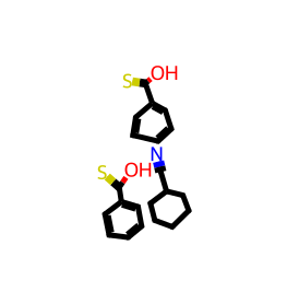 N#CC1CCCCC1.OC(=S)c1ccccc1.OC(=S)c1ccccc1